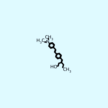 CCC/C(=C/c1ccc(/C=C/c2ccc(N(CC)CC)cc2)cc1)CCO